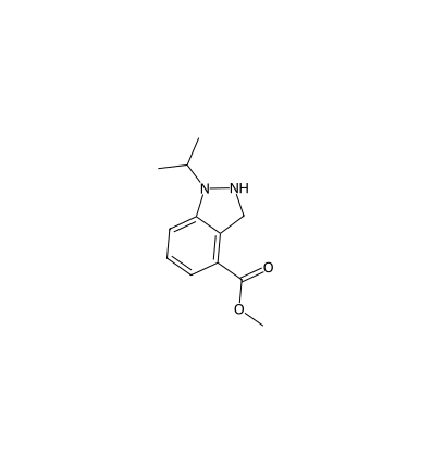 COC(=O)c1cccc2c1CNN2C(C)C